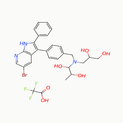 CC(O)C(O)N(Cc1ccc(-c2c(-c3ccccc3)[nH]c3ncc(Br)cc23)cc1)CC(O)CO.O=C(O)C(F)(F)F